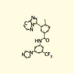 Cc1ccc(C(=O)Nc2cc(-n3ccnc3)cc(C(F)(F)F)c2)cc1-c1cnc2cccnn12